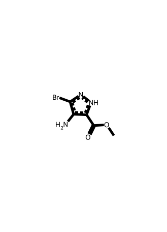 COC(=O)c1[nH]nc(Br)c1N